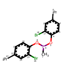 CC(C)c1ccc(OP(C)Oc2ccc(C(C)C)cc2Br)c(Br)c1